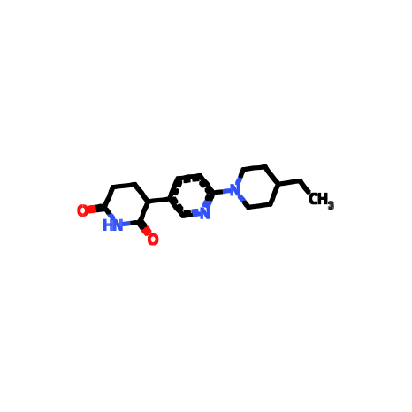 CCC1CCN(c2ccc(C3CCC(=O)NC3=O)cn2)CC1